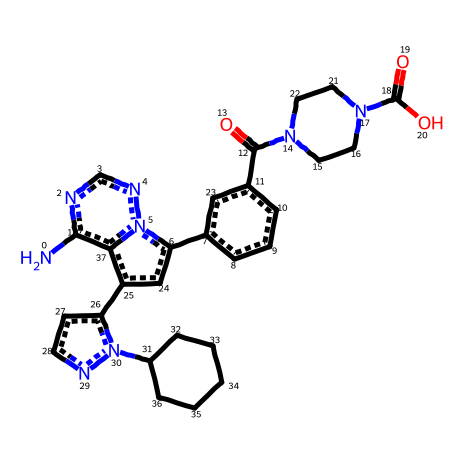 Nc1ncnn2c(-c3cccc(C(=O)N4CCN(C(=O)O)CC4)c3)cc(-c3ccnn3C3CCCCC3)c12